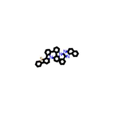 c1ccc(-c2nc3c(ccc4ccccc43)nc2-n2c3cccc4c5cccc6c7c8sc9ccccc9c8ccc7n(c7cccc2c7c43)c56)cc1